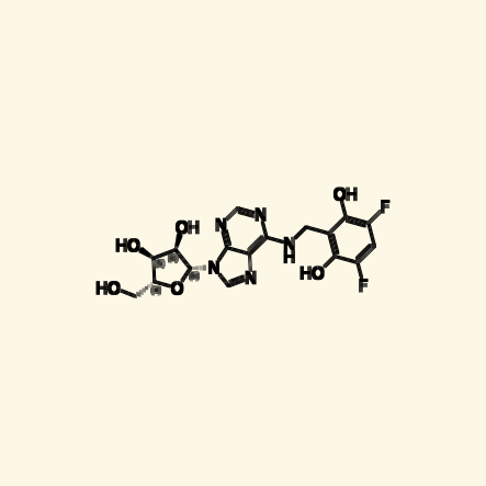 OC[C@H]1O[C@@H](n2cnc3c(NCc4c(O)c(F)cc(F)c4O)ncnc32)[C@H](O)[C@@H]1O